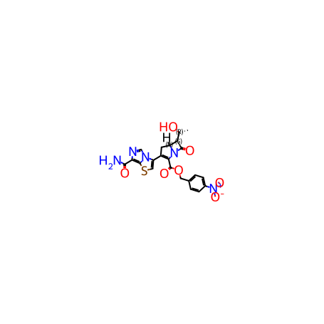 C[C@@H](O)[C@H]1C(=O)N2C(C(=O)OCc3ccc([N+](=O)[O-])cc3)=C(c3csc4c(C(N)=O)ncn34)C[C@H]12